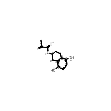 C=C(C)C(=O)OC1CCc2c(O)ccc(O)c2C1